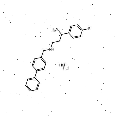 Cl.Cl.NC(CCNCc1ccc(-c2ccccc2)cc1)c1ccc(F)cc1